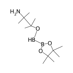 CC(C)(N)C(C)(C)OBB1OC(C)(C)C(C)(C)O1